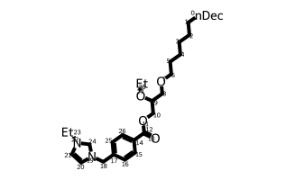 CCCCCCCCCCCCCCCCOCC(COC(=O)c1ccc(CN2C=CN(CC)C2)cc1)OCC